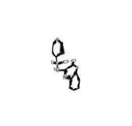 O=S(=O)(Nc1nc2ccccc2nc1Cl)C1C=CN=CC1